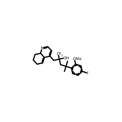 COc1cc(F)ccc1C(C)(C)CC(O)(CC1=CC=NC2CCCC=C12)C(F)(F)F